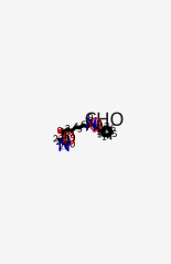 C=C(CCCCCCN(C=O)OCc1ccccc1)C1OC=NC1C